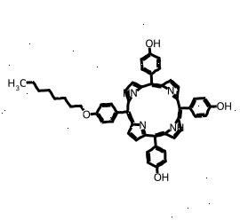 CCCCCCCCOc1ccc(-c2c3nc(c(-c4ccc(O)cc4)c4ccc([nH]4)c(-c4ccc(O)cc4)c4nc(c(-c5ccc(O)cc5)c5ccc2[nH]5)C=C4)C=C3)cc1